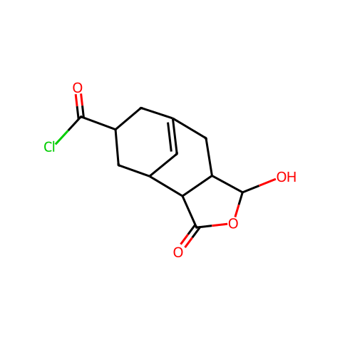 O=C(Cl)C1CC2=CC(C1)C1C(=O)OC(O)C1C2